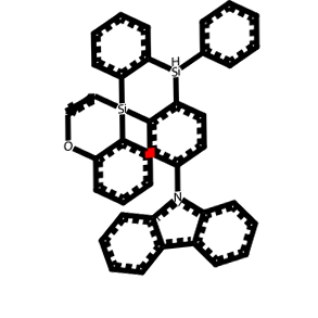 c1ccc([SiH]2c3ccccc3[Si]3(c4ccccc4Oc4ccccc43)c3cc(-n4c5ccccc5c5ccccc54)ccc32)cc1